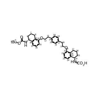 CC(C)(C)OC(=O)N[C@@H]1CCCc2c(OCCc3ccc(CCOc4cccc5c4CCC[C@H]5NC(=O)O)cc3)cccc21